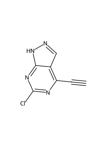 C#Cc1nc(Cl)nc2[nH]ncc12